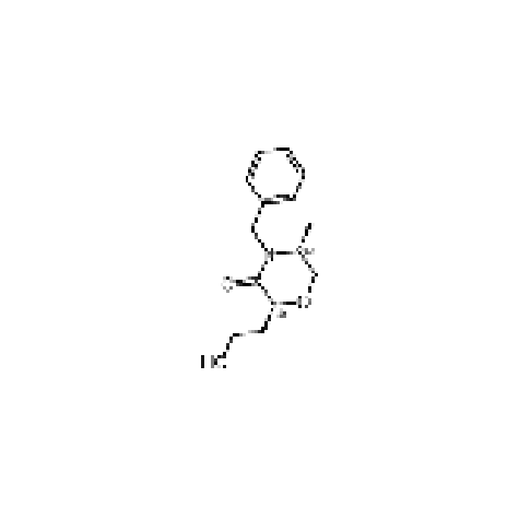 C[C@H]1CO[C@@H](CCO)C(=O)N1Cc1ccccc1